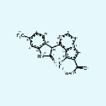 COC(=O)c1cn2ncnc(C3C(=O)Nc4cc(C(F)(F)F)ccc43)c2c1C